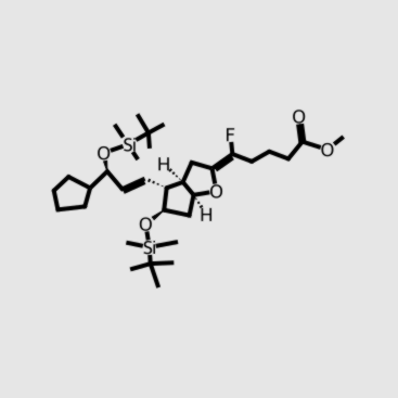 COC(=O)CCC/C(F)=C1/C[C@@H]2[C@@H](/C=C/[C@H](O[Si](C)(C)C(C)(C)C)C3CCCC3)[C@H](O[Si](C)(C)C(C)(C)C)C[C@@H]2O1